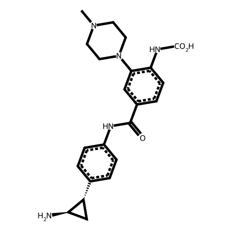 CN1CCN(c2cc(C(=O)Nc3ccc([C@@H]4C[C@H]4N)cc3)ccc2NC(=O)O)CC1